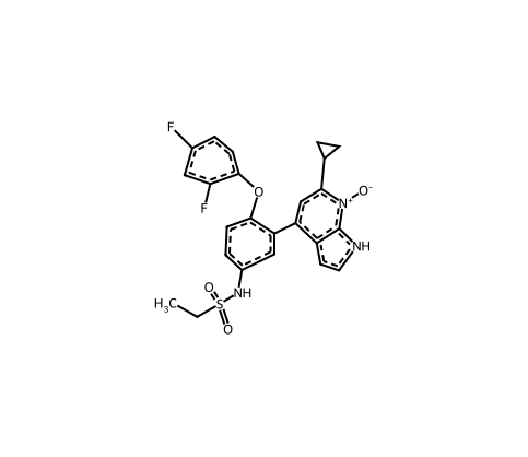 CCS(=O)(=O)Nc1ccc(Oc2ccc(F)cc2F)c(-c2cc(C3CC3)[n+]([O-])c3[nH]ccc23)c1